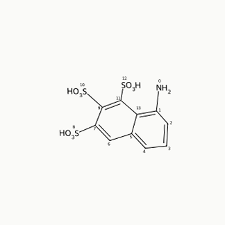 Nc1cccc2cc(S(=O)(=O)O)c(S(=O)(=O)O)c(S(=O)(=O)O)c12